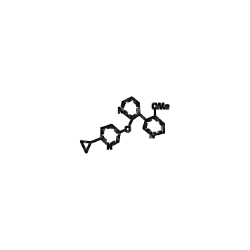 COc1ccncc1-c1cccnc1Oc1ccc(C2CC2)nc1